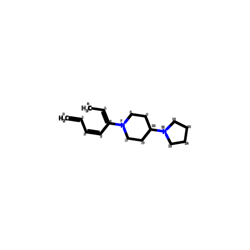 C=C/C=C\C(=C/C)N1CCC(N2CCCC2)CC1